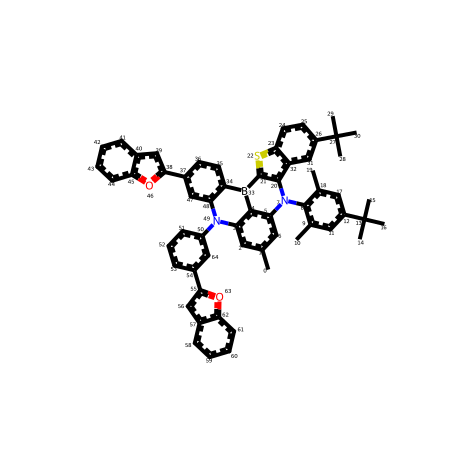 Cc1cc2c3c(c1)N(c1c(C)cc(C(C)(C)C)cc1C)c1c(sc4ccc(C(C)(C)C)cc14)B3c1ccc(-c3cc4ccccc4o3)cc1N2c1cccc(-c2cc3ccccc3o2)c1